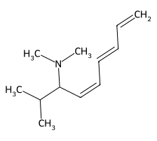 C=C/C=C/C=C\C(C(C)C)N(C)C